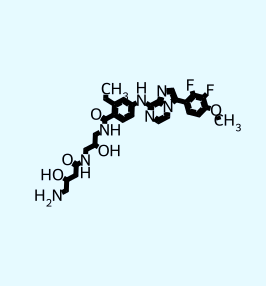 CCc1cc(Nc2nccn3c(-c4ccc(OC)c(F)c4F)cnc23)ccc1C(=O)NCC(O)CNC(=O)CC(O)CN